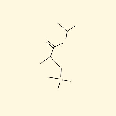 CC(C)OC(=O)C(C)C[Si](F)(F)F